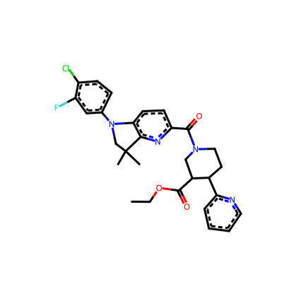 CCOC(=O)C1CN(C(=O)c2ccc3c(n2)C(C)(C)CN3c2ccc(Cl)c(F)c2)CCC1c1ccccn1